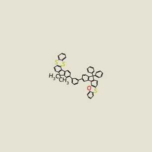 CC1(C)c2cc(-c3cccc(-c4ccc5c(c4)-c4c(ccc6c4Oc4ccccc4S6)C5(c4ccccc4)c4ccccc4)c3)ccc2-c2c1ccc1c2Sc2ccccc2S1